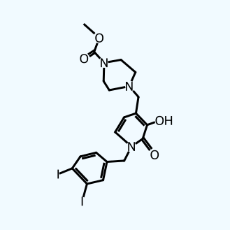 COC(=O)N1CCN(Cc2ccn(Cc3ccc(I)c(I)c3)c(=O)c2O)CC1